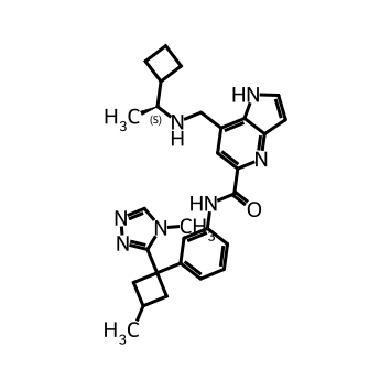 CC1CC(c2cccc(NC(=O)c3cc(CN[C@@H](C)C4CCC4)c4[nH]ccc4n3)c2)(c2nncn2C)C1